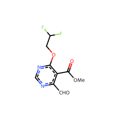 COC(=O)c1c(C=O)ncnc1OCC(F)F